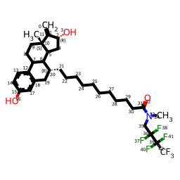 C=C1[C@H](O)CC2C3C(CC[C@]12C)c1ccc(O)cc1C[C@H]3CCCCCCCCCCC(=O)N(C)CC(F)(F)C(F)(F)C(F)(F)F